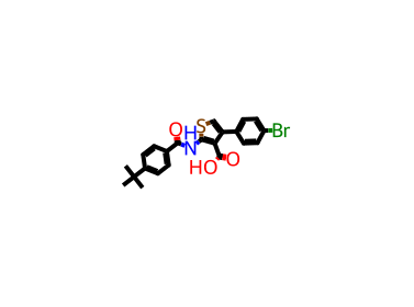 CC(C)(C)c1ccc(C(=O)Nc2scc(-c3ccc(Br)cc3)c2C(=O)O)cc1